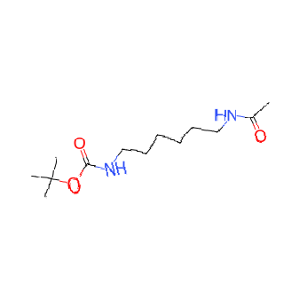 CC(=O)NCCCCCCNC(=O)OC(C)(C)C